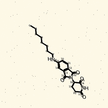 CCCCCCCCNc1ccc2c(c1)C(=O)N(C1CCC(=O)NC1=O)C2=O